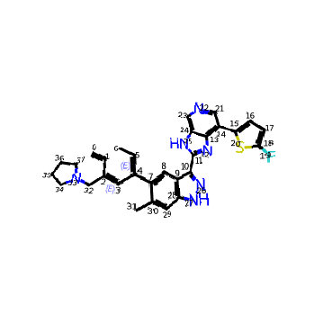 C=C/C(=C\C(=C/C)c1cc2c(-c3nc4c(-c5ccc(F)s5)cncc4[nH]3)n[nH]c2cc1C)CN1CCCC1